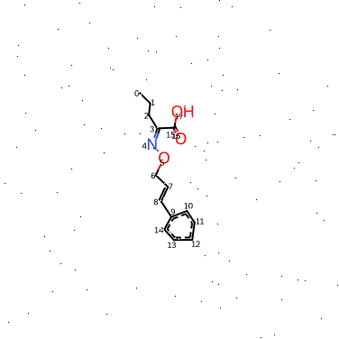 CCCC(=NOCC=Cc1ccccc1)C(=O)O